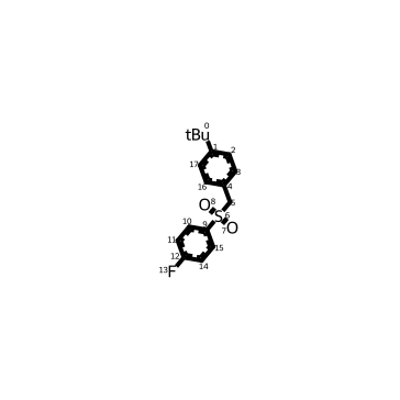 CC(C)(C)c1ccc(CS(=O)(=O)c2ccc(F)cc2)cc1